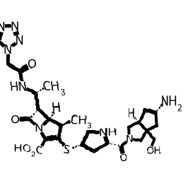 C[C@@H](NC(=O)Cn1cnnn1)[C@H]1C(=O)N2C(C(=O)O)=C(S[C@@H]3CN[C@H](C(=O)N4C[C@H]5C[C@H](N)CC5(CO)C4)C3)[C@H](C)[C@H]12